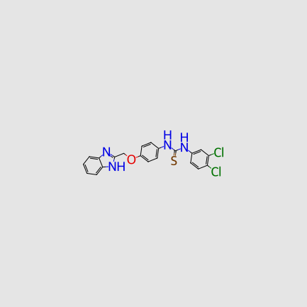 S=C(Nc1ccc(OCc2nc3ccccc3[nH]2)cc1)Nc1ccc(Cl)c(Cl)c1